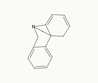 C1=CCC23CCN(Cc4ccccc42)C3=C1